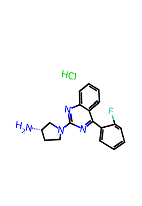 Cl.N[C@H]1CCN(c2nc(-c3ccccc3F)c3ccccc3n2)C1